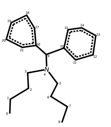 CCCCN(CCCC)C(c1ccccc1)c1ccccc1